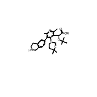 Cc1nc(C)c([C@H](OC(C)(C)C)C(=O)O)c(N2CCC(C)(C)CC2)c1-c1ccc2c(c1)CCNC2